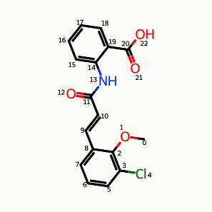 COc1c(Cl)cccc1/C=C/C(=O)Nc1ccccc1C(=O)O